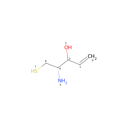 C=CC(O)[C@H](N)CS